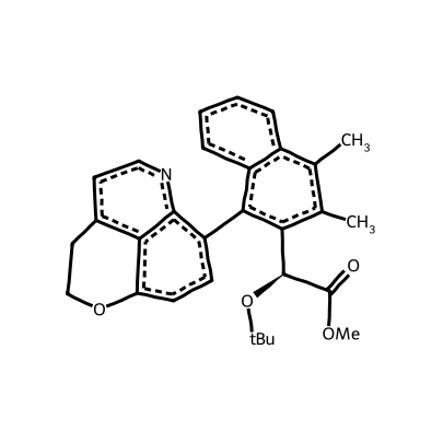 COC(=O)[C@@H](OC(C)(C)C)c1c(C)c(C)c2ccccc2c1-c1ccc2c3c(ccnc13)CCO2